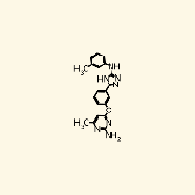 Cc1cccc(Nc2nnc(-c3cccc(Oc4cc(C)nc(N)n4)c3)[nH]2)c1